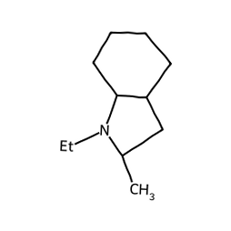 CCN1C(C)CC2CCCCC21